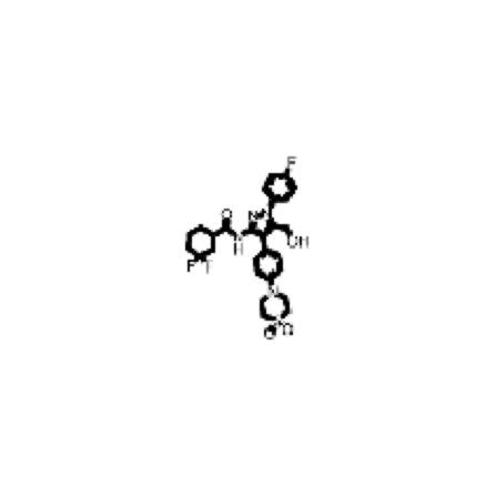 O=C(Nc1nn(-c2ccc(F)cc2)c(CO)c1-c1ccc(N2CCS(=O)(=O)CC2)cc1)C1CCCC(F)(F)C1